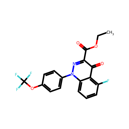 CCOC(=O)c1nn(-c2ccc(OC(F)(F)F)cc2)c2cccc(F)c2c1=O